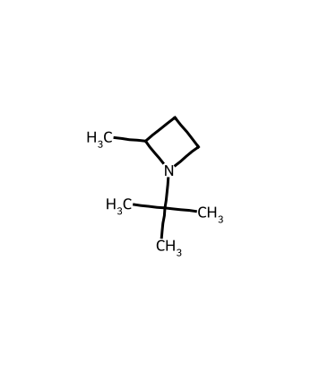 CC1CCN1C(C)(C)C